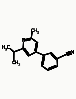 Cc1cc(-c2cccc(C#N)c2)cc(C(C)C)n1